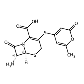 Cc1cc(SC2=C(C(=O)O)N3C(=O)[C@@H](N)[C@@H]3SC2)cc(=O)o1